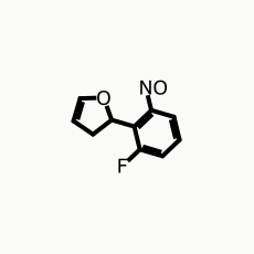 O=Nc1cccc(F)c1C1CC=CO1